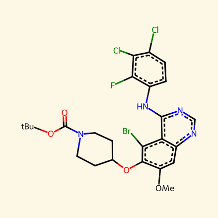 COc1cc2ncnc(Nc3ccc(Cl)c(Cl)c3F)c2c(Br)c1OC1CCN(C(=O)OC(C)(C)C)CC1